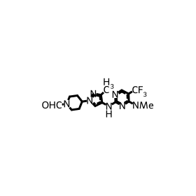 CNc1nc(Nc2cn(C3CCN(C=O)CC3)nc2C)ncc1C(F)(F)F